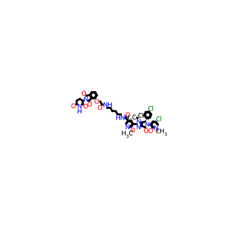 COc1ncc(C(=O)NCCCCCCNC(=O)COc2cccc3c2C(=O)N(C2CCC(=O)NC2=O)C3=O)cc1-c1nc2c(n1C(C)C)[C@H](c1ccc(Cl)cc1)N(c1cc(Cl)cn(C)c1=O)C2=O